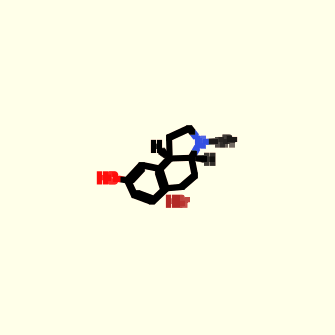 Br.CCCN1CC[C@H]2c3cc(O)ccc3CC[C@H]21